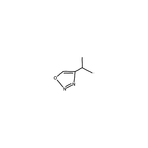 [CH2]C(C)c1conn1